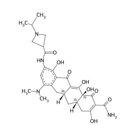 CC(C)N1CC(C(=O)Nc2cc(N(C)C)c3c(c2O)C(=O)C2=C(O)[C@]4(O)C(=O)C(C(N)=O)=C(O)C[C@@H]4C[C@@H]2C3)C1